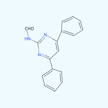 O=CNc1nc(-c2ccccc2)cc(-c2ccccc2)n1